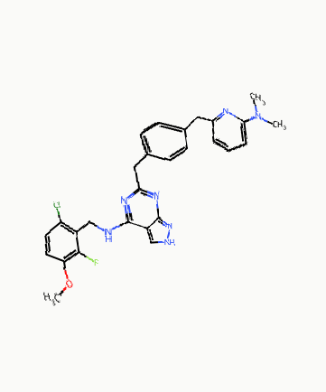 COc1ccc(Cl)c(CNc2nc(Cc3ccc(Cc4cccc(N(C)C)n4)cc3)nc3n[nH]cc23)c1F